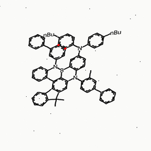 CCCCc1ccc(N(c2ccc(CCCC)cc2)c2ccc3c(c2)B2c4c(cc5c(c4-c4ccccc4N2c2cccc(-c4ccccc4)c2)-c2ccccc2C5(C)C)N3c2ccc(-c3ccccc3)cc2C)cc1